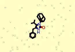 CC(C)c1c(Cc2ccccc2)[nH]c(=O)n1C1C2CC3CC(C2)CC1C3